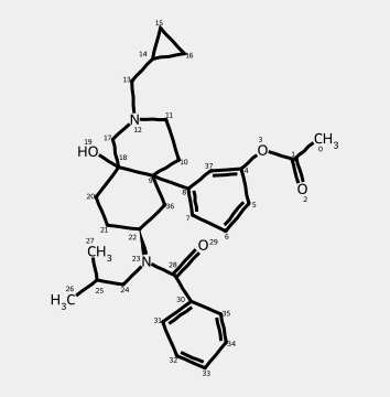 CC(=O)Oc1cccc(C23CCN(CC4CC4)CC2(O)CC[C@H](N(CC(C)C)C(=O)c2ccccc2)C3)c1